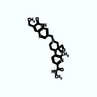 CCc1cc2ncc(CN3CCN(c4ccc(C(=O)NC)nc4C)C4(COC4)C3)cc2[nH]c1=O